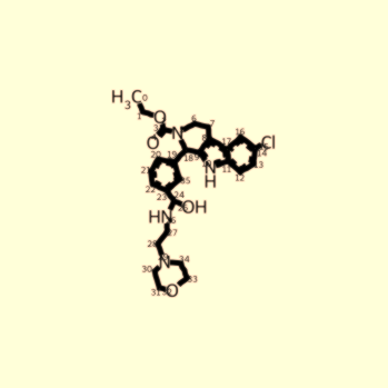 CCOC(=O)N1CCc2c([nH]c3ccc(Cl)cc23)C1c1cccc(C(O)NCCN2CCOCC2)c1